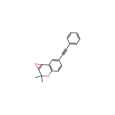 CC1(C)Oc2ccc(C#Cc3ccccc3)cc2C2=C1O2